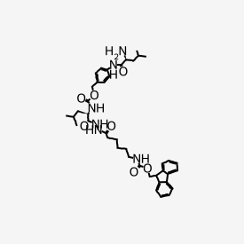 CC(C)C[C@H](N)C(=O)Nc1ccc(COC(=O)N[C@H](CC(C)C)C(=O)NNC(=O)CCCCCNC(=O)OCC2c3ccccc3-c3ccccc32)cc1